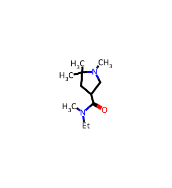 CCN(C)C(=O)C1CN(C)C(C)(C)C1